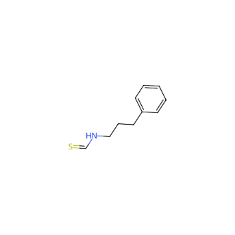 S=CNCCCc1ccccc1